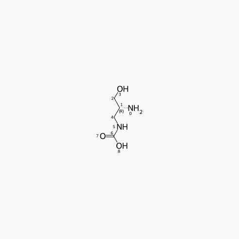 N[C@@H](CO)CNC(=O)O